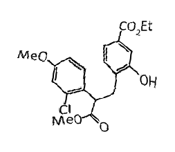 CCOC(=O)c1ccc(CC(C(=O)OC)c2ccc(OC)cc2Cl)c(O)c1